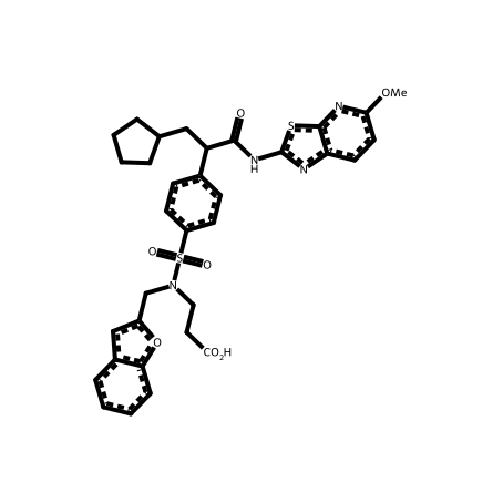 COc1ccc2nc(NC(=O)C(CC3CCCC3)c3ccc(S(=O)(=O)N(CCC(=O)O)Cc4cc5ccccc5o4)cc3)sc2n1